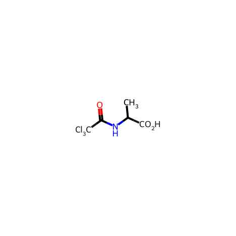 CC(NC(=O)C(Cl)(Cl)Cl)C(=O)O